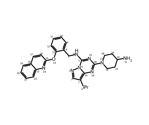 CC(C)c1cnn2c(NCc3ccccc3Oc3ccc4ccccc4n3)nc(N3CCC(N)CC3)nc12